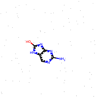 Nc1ncc2[nH]c(O)nc2n1